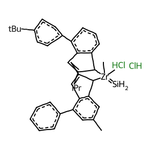 CC1=Cc2c(-c3ccccc3)cc(C)cc2[CH]1[Zr]([CH3])([CH3])(=[SiH2])[CH]1C(C(C)C)=Cc2c(-c3ccc(C(C)(C)C)cc3)cccc21.Cl.Cl